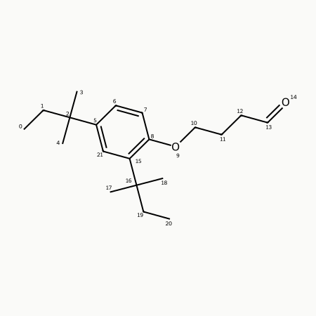 CCC(C)(C)c1ccc(OCCCC=O)c(C(C)(C)CC)c1